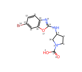 O=C(O)N1CCC(Nc2nc3ccc(Br)cc3o2)C1